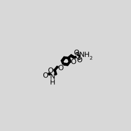 NS(=O)(=O)c1cc2ccc(OCC3CNC(=O)O3)cc2o1